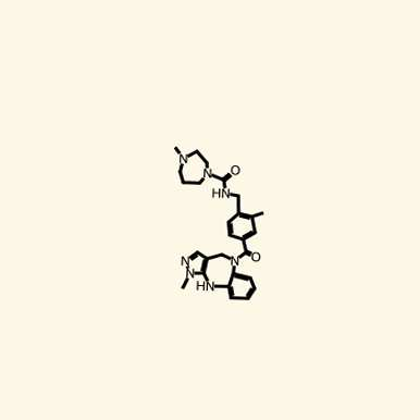 Cc1cc(C(=O)N2Cc3cnn(C)c3Nc3ccccc32)ccc1CNC(=O)N1CCCN(C)CC1